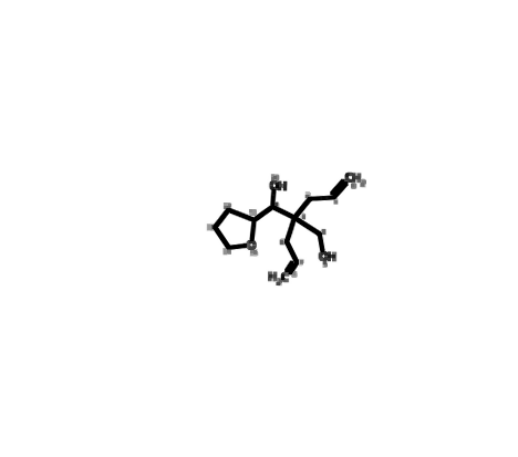 C=CCC(CO)(CC=C)C(O)C1CCCO1